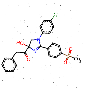 CS(=O)(=O)c1ccc(C2=NC(O)(C(=O)Cc3ccccc3)CN2c2ccc(Cl)cc2)cc1